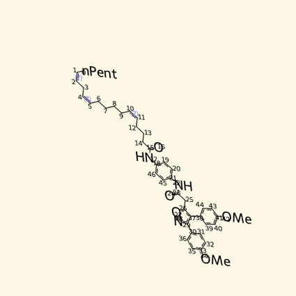 CCCCC/C=C\C/C=C\CCCC/C=C\CCCC(=O)Nc1ccc(NC(=O)Cc2onc(-c3ccc(OC)cc3)c2-c2ccc(OC)cc2)cc1